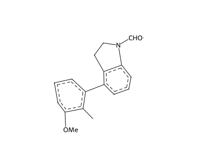 COc1cccc(-c2cccc3c2CCN3[C]=O)c1C